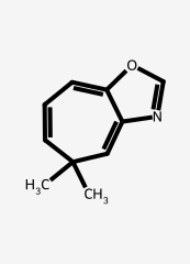 CC1(C)C=CC=c2ocnc2=C1